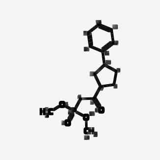 COP(=O)(CC(=O)C1CCC(c2ccccc2)C1)OC